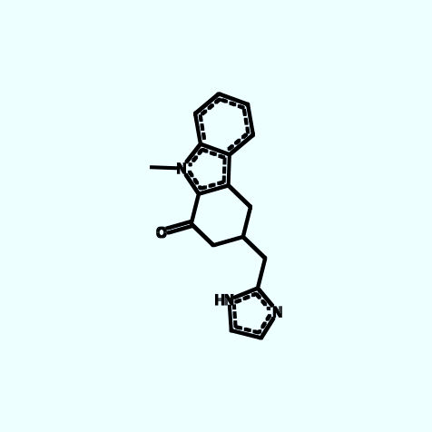 Cn1c2c(c3ccccc31)CC(Cc1ncc[nH]1)CC2=O